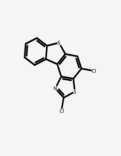 Clc1nc2c(s1)c(Cl)cc1sc3ccccc3c12